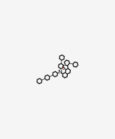 c1ccc(-c2ccc(-c3ccc(N(c4ccc(-c5ccccc5)cc4)c4cccc5ccc6c(sc7cccc(-c8ccccc8)c76)c45)cc3)cc2)cc1